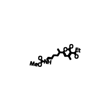 CCC(=O)c1c(C)cc(C(C)CC/C=C/NC(=O)OC)oc1=O